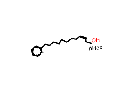 CCCCCC[C@@H](O)C/C=C\CCCCCCCCc1[c]cccc1